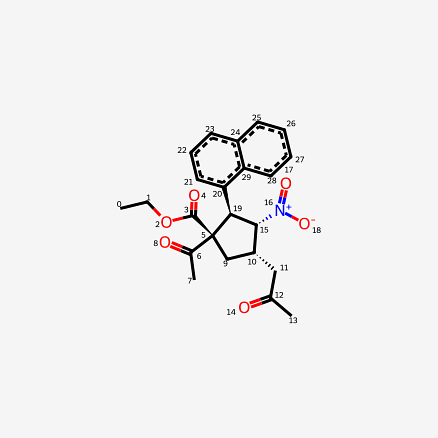 CCOC(=O)[C@]1(C(C)=O)C[C@@H](CC(C)=O)[C@@H]([N+](=O)[O-])[C@@H]1c1cccc2ccccc12